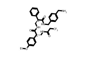 CCOc1ccc([C@@H](CNC(=O)CC(F)(F)F)C(=O)NC[C@H](C(=O)NCc2ccc(CN)cc2)c2ccccc2)cc1